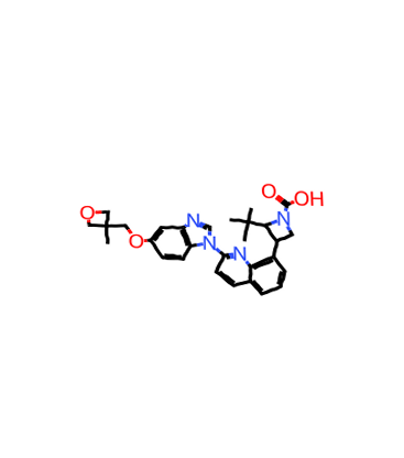 CC1(COc2ccc3c(c2)ncn3-c2ccc3cccc(C4CN(C(=O)O)C4C(C)(C)C)c3n2)COC1